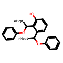 CCCCCCCC(Oc1ccccc1)c1cccc(O)c1C(CCCCCCC)Oc1ccccc1